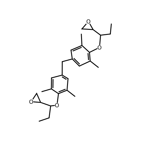 CCC(Oc1c(C)cc(Cc2cc(C)c(OC(CC)C3CO3)c(C)c2)cc1C)C1CO1